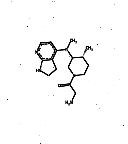 C[C@@H]1CCN(C(=O)CN)CC1N(C)c1ccnc2c1CCN2